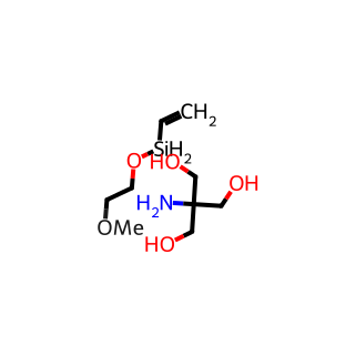 C=C[SiH2]OCCOC.NC(CO)(CO)CO